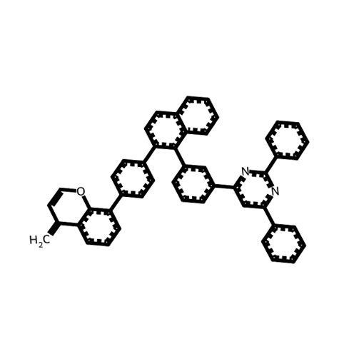 C=C1C=COc2c1cccc2-c1ccc(-c2ccc3ccccc3c2-c2cccc(-c3cc(-c4ccccc4)nc(-c4ccccc4)n3)c2)cc1